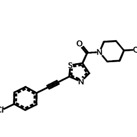 O=C(c1cnc(C#Cc2ccc(Cl)cc2)s1)N1CCC(O)CC1